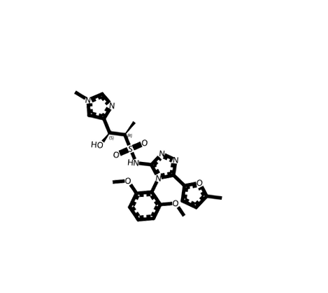 COc1cccc(OC)c1-n1c(NS(=O)(=O)[C@H](C)[C@@H](O)c2cn(C)cn2)nnc1-c1ccc(C)o1